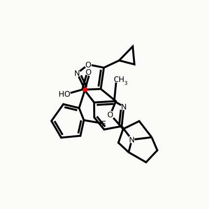 Cc1nc(N2C3CCC2CC(OCc2c(-c4ccccc4F)noc2C2CC2)C3)ccc1C(=O)O